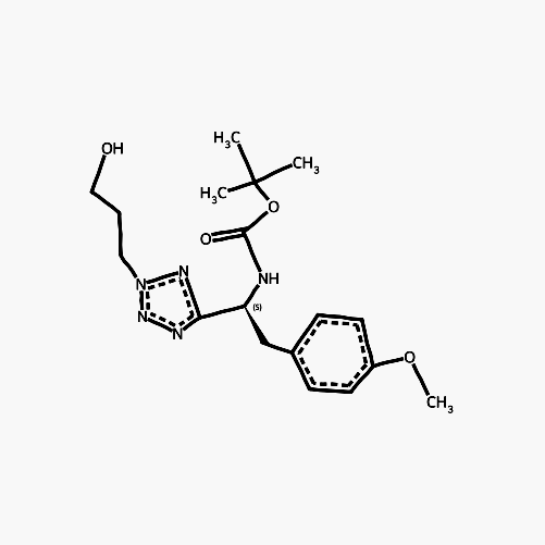 COc1ccc(C[C@H](NC(=O)OC(C)(C)C)c2nnn(CCCO)n2)cc1